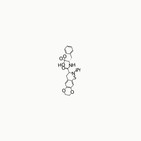 CC(C)N1Sc2cc3c(cc2CC1C(=O)N[C@@H](Cc1ccccc1)C1(O)OO1)OCCO3